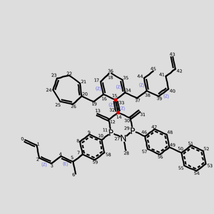 C=C/C=C\C=C(/C)c1ccc(P(C(=C)/C=C\C(=C/C)CC2=CCC=CC=C2)N(C)P(C(=C)/C=C\C(=C/C)CC(/C=C\CC=C)=C/C)c2ccc(-c3ccccc3)cc2)cc1